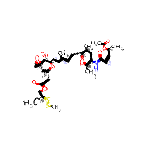 CSS[C@H](C)COC(=O)C[C@@H]1C[C@@]2(CO2)[C@H](O)[C@@H](/C=C/C(C)=C/C[C@@H]2O[C@H](C)[C@H](NC(=O)/C=C\[C@H](C)OC(C)=O)C[C@@H]2C)O1